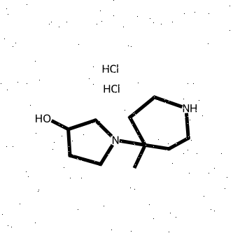 CC1(N2CCC(O)C2)CCNCC1.Cl.Cl